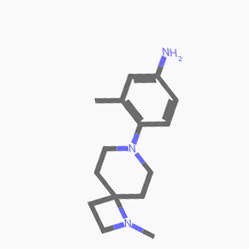 Cc1cc(N)ccc1N1CCC2(CC1)CCN2C